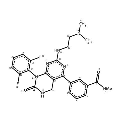 CNC(=O)c1cccc(-c2nc(NCCN(C)C)nc3c2CNC(=O)N3c2c(F)cccc2F)c1